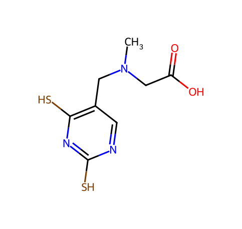 CN(CC(=O)O)Cc1cnc(S)nc1S